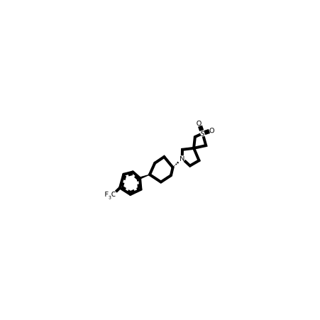 O=S1(=O)CC2(CCN([C@H]3CC[C@H](c4ccc(C(F)(F)F)cc4)CC3)C2)C1